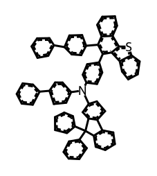 c1ccc(-c2ccc(-c3c(-c4ccc(N(c5ccc(-c6ccccc6)cc5)c5ccc6c(c5)C(c5ccccc5)(c5ccccc5)c5ccccc5-6)cc4)c4c5ccccc5sc4c4ccccc34)cc2)cc1